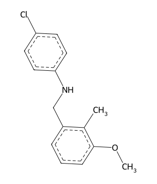 COc1cccc(CNc2ccc(Cl)cc2)c1C